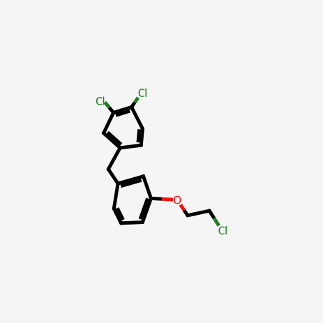 ClCCOc1cccc(Cc2ccc(Cl)c(Cl)c2)c1